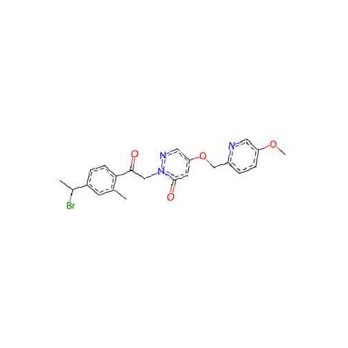 COc1ccc(COc2cnn(CC(=O)c3ccc(C(C)Br)cc3C)c(=O)c2)nc1